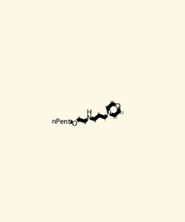 CCCCCOCCNCCCN1CCOCC1